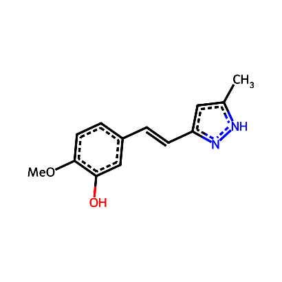 COc1ccc(C=Cc2cc(C)[nH]n2)cc1O